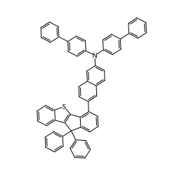 c1ccc(-c2ccc(N(c3ccc(-c4ccccc4)cc3)c3ccc4cc(-c5cccc6c5-c5sc7ccccc7c5C6(c5ccccc5)c5ccccc5)ccc4c3)cc2)cc1